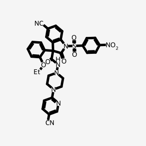 CCOc1ccccc1C1(C(=O)NN2CCN(c3ccc(C#N)cn3)CC2)C(=O)N(S(=O)(=O)c2ccc([N+](=O)[O-])cc2)c2ccc(C#N)cc21